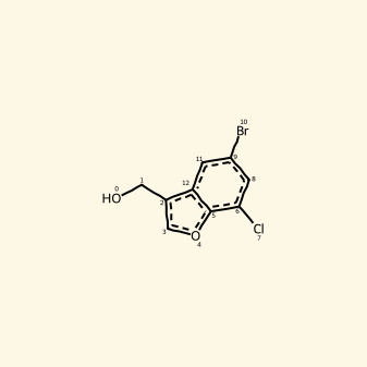 OCc1coc2c(Cl)cc(Br)cc12